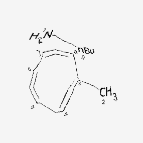 CCCCN.Cc1ccccc1